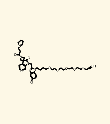 C#CCOCCOCCOCCOCCOCCCCn1c(CN2C(=O)C3(CN(C(=O)CCN4CCCC4)C3)c3ccncc32)nc2cc(Cl)ccc21